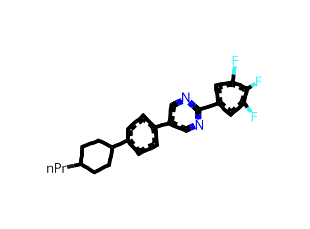 CCCC1CCC(c2ccc(-c3cnc(-c4cc(F)c(F)c(F)c4)nc3)cc2)CC1